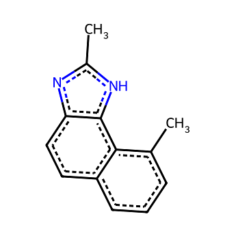 Cc1nc2ccc3cccc(C)c3c2[nH]1